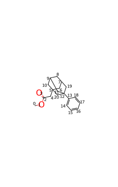 COC(=O)CC12CC3CC(C1)CC(c1ccccc1)(C3)C2